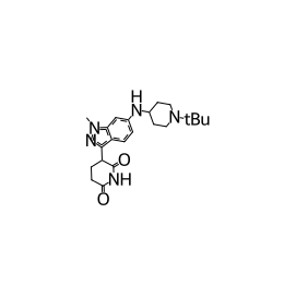 Cn1nc(C2CCC(=O)NC2=O)c2ccc(NC3CCN(C(C)(C)C)CC3)cc21